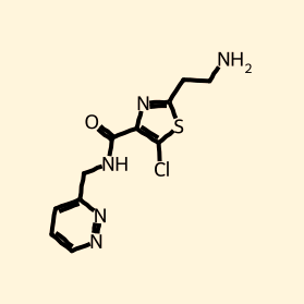 NCCc1nc(C(=O)NCc2cccnn2)c(Cl)s1